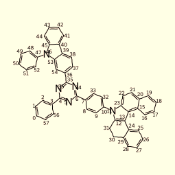 c1ccc(-c2nc(-c3ccc(-n4c5c(c6c7ccccc7ccc64)-c4ccccc4CC5)cc3)nc(-c3ccc4c5ccccc5n(-c5ccccc5)c4c3)n2)cc1